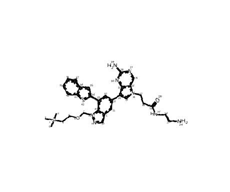 C[Si](C)(C)CCOCn1ncc2cc(-c3cn(CCC(=O)NCCN)c4cnc(N)nc34)cc(-c3cc4ccccc4s3)c21